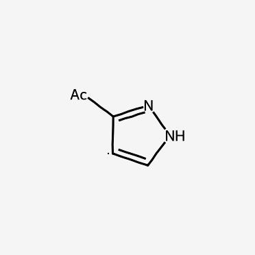 CC(=O)c1[c]c[nH]n1